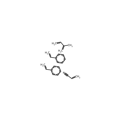 C=CC#N.C=CC(=C)C.C=Cc1ccccc1.C=Cc1ccccc1